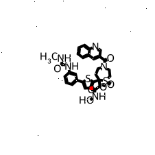 CNC(=O)Nc1cccc(-c2ccc(C3(CC(=O)NO)CCN(C(=O)c4cnc5ccccc5c4)CCS3(=O)=O)s2)c1